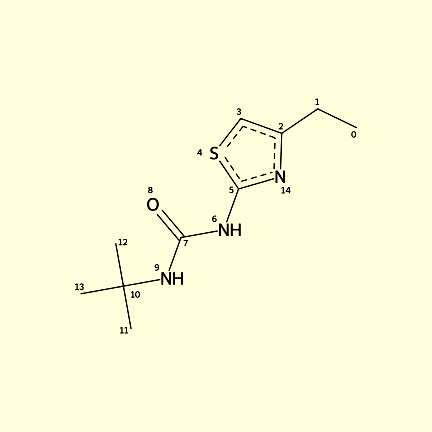 CCc1csc(NC(=O)NC(C)(C)C)n1